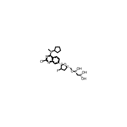 CN(c1nc(Cl)nc2cc([C@@H]3O[C@H](COP(O)CP(O)O)CC3F)ccc12)C1CCCC1